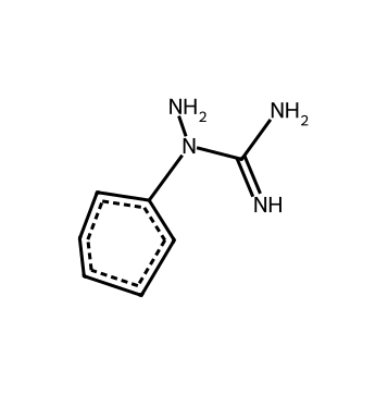 N=C(N)N(N)c1ccccc1